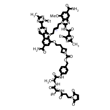 CCc1nc(C)oc1C(=O)Nc1nc2cc(C(N)=O)cc(OC)c2n1C/C=C/Cn1c2nc(-c3nc(C)nn3CC)ncc2c2cc(C(N)=O)cc(OCCC3CN(C(=O)OCc4ccc(NC(=O)[C@H](C)NC(=O)[C@@H](NC(=O)CCN5C(=O)C=CC5=O)C(C)C)cc4)C3)c21